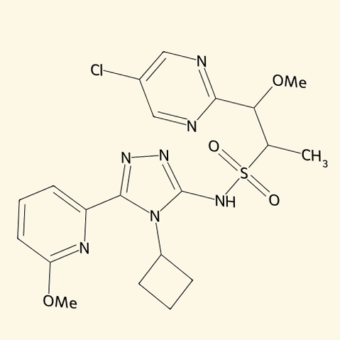 COc1cccc(-c2nnc(NS(=O)(=O)C(C)C(OC)c3ncc(Cl)cn3)n2C2CCC2)n1